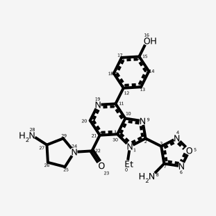 CCn1c(-c2nonc2N)nc2c(-c3ccc(O)cc3)ncc(C(=O)N3CCC(N)C3)c21